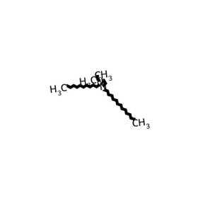 CCCCCCCCCCCCCCCN1C=CN(C(C)C)C1CCCCCCCCCCC